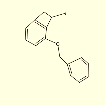 IC1Cc2cccc(OCc3ccccc3)c21